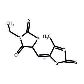 CCN1C(=O)C(/C=C2/SC(=S)N=C2C)SC1=S